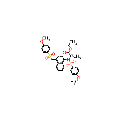 CCOC(=O)[C@H](C)N(c1ccc(CS(=O)(=O)c2ccc(OC)cc2)c2ccccc12)S(=O)(=O)c1ccc(OC)cc1